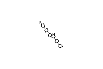 Fc1ccc(-c2ccc(-c3ccc4cc(-c5ccc(-c6cccnc6)cc5)cnc4c3)cc2)cc1